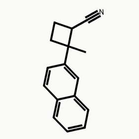 CC1(c2ccc3ccccc3c2)CCC1C#N